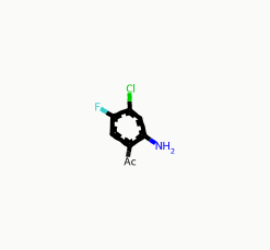 CC(=O)c1cc(F)c(Cl)cc1N